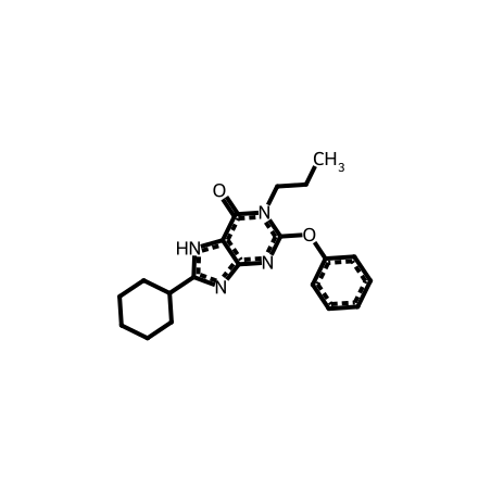 CCCn1c(Oc2ccccc2)nc2nc(C3CCCCC3)[nH]c2c1=O